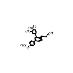 CCN(CC)c1ccc(-c2cc(-c3ccc(C(=O)O)cc3)ccc2CCCO)cc1C(C)(C)C